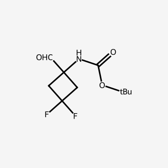 CC(C)(C)OC(=O)NC1(C=O)CC(F)(F)C1